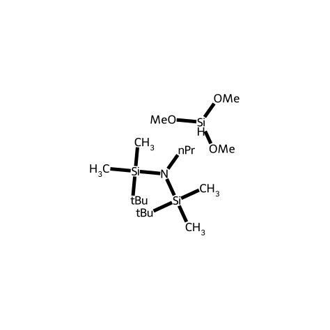 CCCN([Si](C)(C)C(C)(C)C)[Si](C)(C)C(C)(C)C.CO[SiH](OC)OC